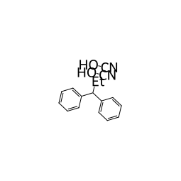 CCC(c1ccccc1)c1ccccc1.N#CO.N#CO